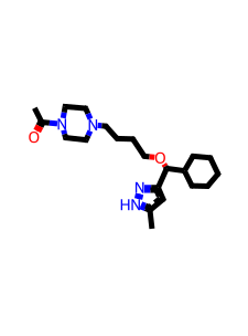 CC(=O)N1CCN(CCCCOC(c2cc(C)[nH]n2)C2CCCCC2)CC1